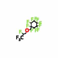 FC(COCC1(F)C(F)C(F)(F)C(F)(F)C(F)(F)C1(F)F)C(F)(F)F